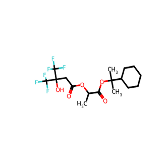 CC(OC(=O)CC(O)(C(F)(F)F)C(F)(F)F)C(=O)OC(C)(C)C1CCCCC1